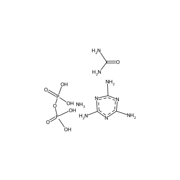 N.NC(N)=O.Nc1nc(N)nc(N)n1.O=P(O)(O)OP(=O)(O)O